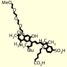 C=C(/C=C(/C=C/C=C1\N(CCCCCC(=O)O)c2ccc(S(=O)(=O)O)cc2C1(C)C)c1cc2c(cc1O)N(CCOCCOCCOCCOC)C(C)(C)C=C2C)C(C)(C)C